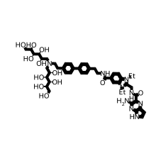 CCn1c(CNC(=O)c2nc3cc[nH]c3nc2N)[n+](CC)c2ccc(C(=O)NCCc3ccc(-c4ccc(CCN(C[C@H](O)[C@@H](O)[C@H](O)[C@H](O)CO)C[C@H](O)[C@@H](O)[C@H](O)[C@H](O)CO)cc4)cc3)cc21